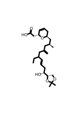 C=C(CC(/C=C/C[C@@H](O)[C@@H]1COC(C)(C)O1)CC)C[C@H](C)C[C@@H]1CC=C[C@@H](CC(=O)O)O1